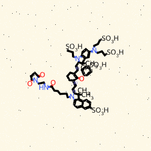 CC1(C)C(/C=C/C2=C(Oc3ccc(S(=O)(=O)O)cc3)C(=C/C=C3/N(CCCCCC(=O)NCCN4C(=O)C=CC4=O)c4ccc5cc(S(=O)(=O)O)ccc5c4C3(C)C)/CCC2)=[N+](CCCS(=O)(=O)O)c2ccc(N(CCCS(=O)(=O)O)CCCS(=O)(=O)O)cc21